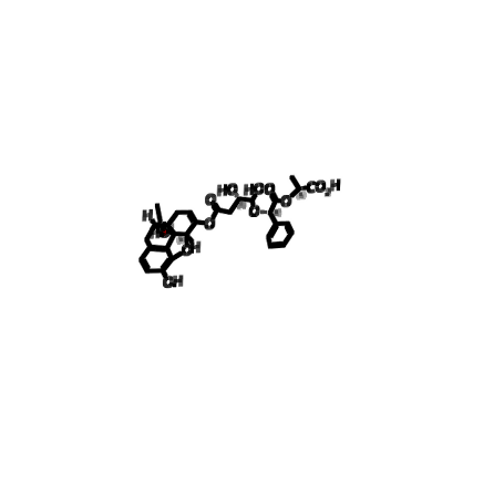 C[C@H](OC(=O)[C@@H](OC(O)[C@@H](O)CC(=O)OC1=CC[C@@]2(O)[C@H]3Cc4ccc(O)c5c4C2(CCN3C)[C@H]1O5)c1ccccc1)C(=O)O